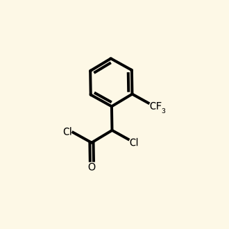 O=C(Cl)C(Cl)c1ccccc1C(F)(F)F